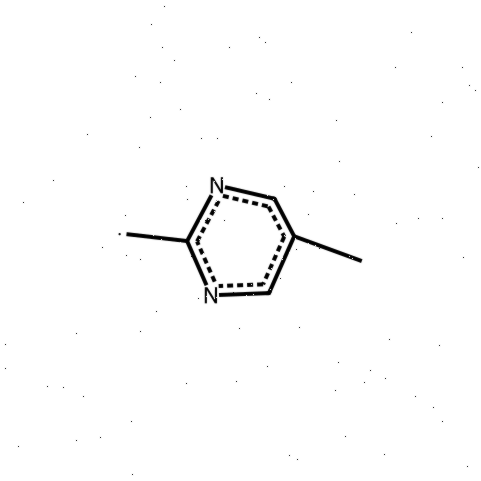 [CH2]c1ncc(C)cn1